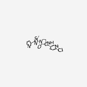 Cc1sc(-c2cccnc2)nc1N1CCc2[nH]c(-c3ccc(Cl)nc3)cc2C1=O